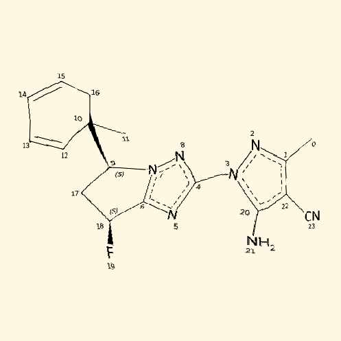 Cc1nn(-c2nc3n(n2)[C@H](C2(C)C=CC=CC2)C[C@@H]3F)c(N)c1C#N